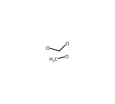 Cl[CH]Cl.[CH2]Cl